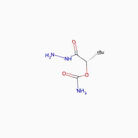 CC(C)(C)[C@H](OC(N)=O)C(=O)NN